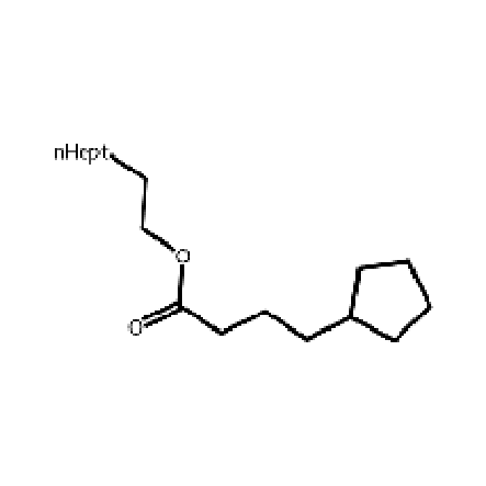 CCCCCCCCCOC(=O)CCCC1CCCC1